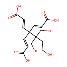 O=C(O)C=CC(C=CC(=O)O)(C=CC(=O)O)C(CO)(CO)CCO